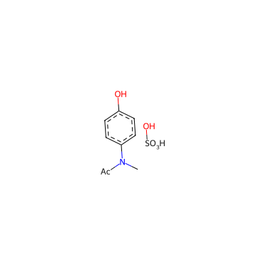 CC(=O)N(C)c1ccc(O)cc1.O=S(=O)(O)O